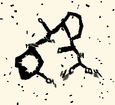 Cc1cccc(NNC(=O)C2CCCN2C(=O)NC(C)C(=O)O)c1